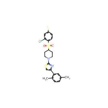 Cc1ccc(C)c(-c2csc(N3CCC(S(=O)(=O)c4ccc(F)cc4Cl)CC3)n2)c1